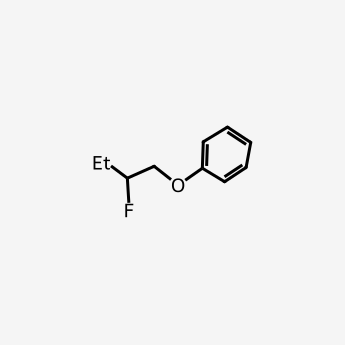 CCC(F)COc1ccccc1